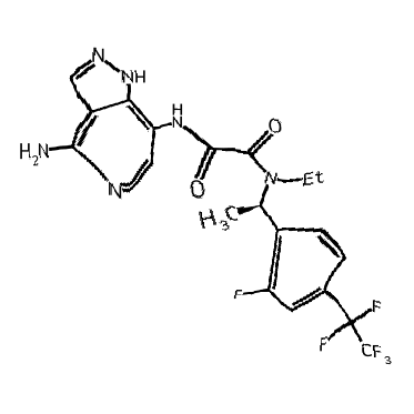 CCN(C(=O)C(=O)Nc1cnc(N)c2cn[nH]c12)[C@H](C)c1ccc(C(F)(F)C(F)(F)F)cc1F